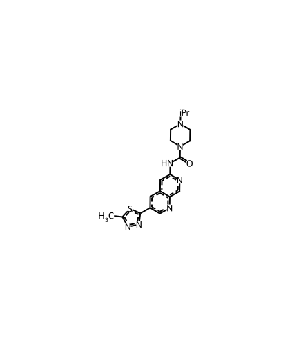 Cc1nnc(-c2cnc3cnc(NC(=O)N4CCN(C(C)C)CC4)cc3c2)s1